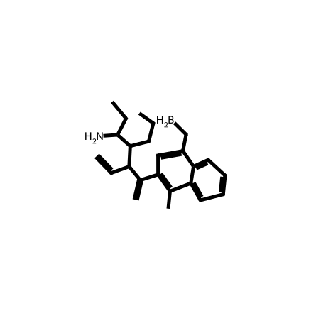 BCc1cc(C(=C)C(C=C)C(CCC)C(N)CC)c(C)c2ccccc12